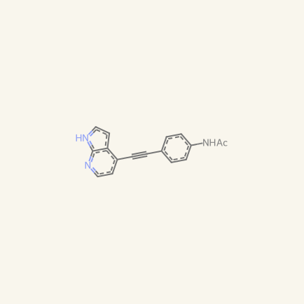 CC(=O)Nc1ccc(C#Cc2ccnc3[nH]ccc23)cc1